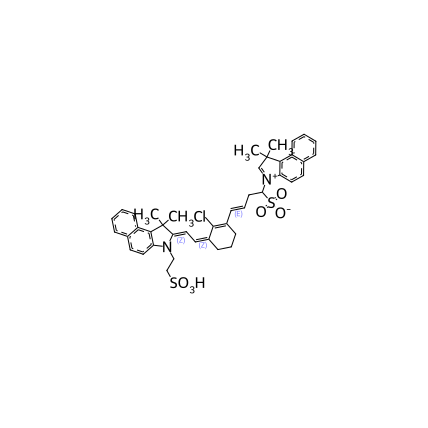 CC1(C)C=[N+](C(C/C=C/C2=C(Cl)C(=C\C=C3/N(CCS(=O)(=O)O)c4ccc5ccccc5c4C3(C)C)/CCC2)S(=O)(=O)[O-])c2ccc3ccccc3c21